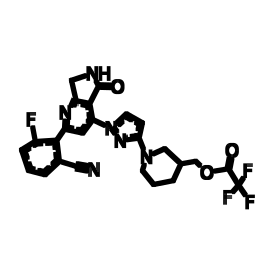 N#Cc1cccc(F)c1-c1cc(-n2ccc(N3CCCC(COC(=O)C(F)(F)F)C3)n2)c2c(n1)CNC2=O